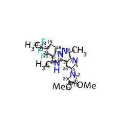 CO[C@H]1CN(c2cnc3c(C)nnc(N[C@H](C)c4cccc(C(C)(F)F)c4F)c3c2)C[C@H]1OC